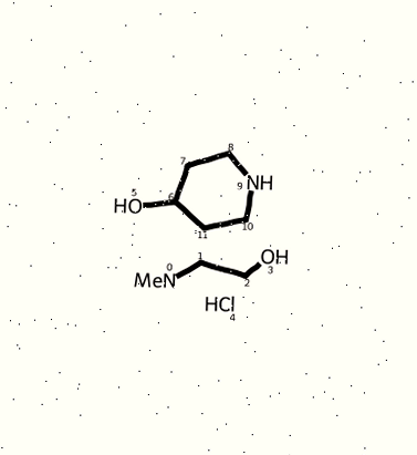 CNCCO.Cl.OC1CCNCC1